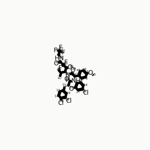 COc1ccc([C@H](NC(=O)[C@@H](Cc2ccc(Cl)c(Cl)c2)Oc2cccc(Cl)c2)C(=O)N[C@H](C(=O)C(F)(F)C(=O)NCC(F)(F)F)C(C)C)cc1